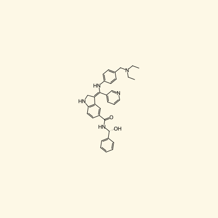 CCN(CC)Cc1ccc(N/C(=C2\CNc3ccc(C(=O)N[C@H](O)c4ccccc4)cc32)c2cccnc2)cc1